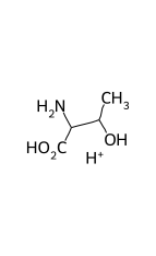 CC(O)C(N)C(=O)O.[H+]